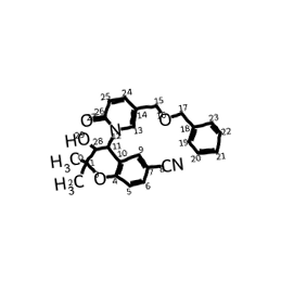 CC1(C)Oc2ccc(C#N)cc2C(n2cc(COCc3ccccc3)ccc2=O)C1O